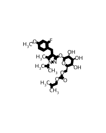 COc1ccc(Cc2c(O[C@@H]3O[C@H](COC(=O)OCC(C)C)[C@@H](O)[C@H](O)[C@H]3O)nn(C(C)C)c2C)c(F)c1